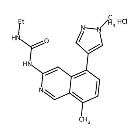 CCNC(=O)Nc1cc2c(-c3cnn(C)c3)ccc(C)c2cn1.Cl